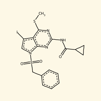 CSc1nc(NC(=O)C2CC2)nc2c1c(I)cn2S(=O)(=O)Cc1ccccc1